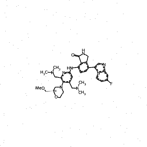 COC[C@@H]1CN(c2c(CN(C)C)cc(Nc3ccc(-c4cnc5cc(F)ccn45)c4c3C(=O)NC4)nc2CN(C)C)CCO1